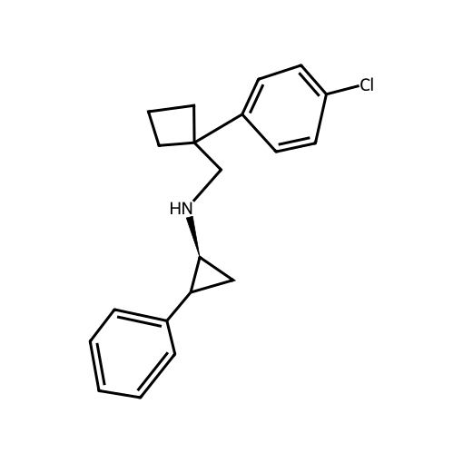 Clc1ccc(C2(CN[C@H]3CC3c3ccccc3)CCC2)cc1